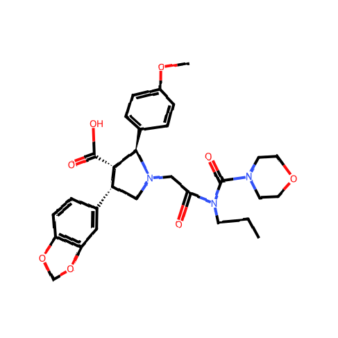 CCCN(C(=O)CN1C[C@H](c2ccc3c(c2)OCO3)[C@H](C(=O)O)[C@H]1c1ccc(OC)cc1)C(=O)N1CCOCC1